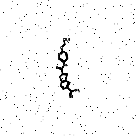 N=C(N)c1cnc2oc(C(=O)Nc3ccc(OCC(=O)O)nc3)cc2c1